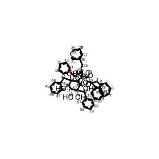 O=P(OCc1ccccc1)(OCc1ccccc1)[C@@]1(O)[C@](O)(P(=O)(OCc2ccccc2)OCc2ccccc2)[C@@](O)(Cc2ccccc2)[C@@H](O)[C@@H](O)[C@]1(O)Cc1ccccc1